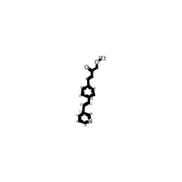 CCOCC(=O)C=Cc1ccc(C=Cc2cccnc2)cc1